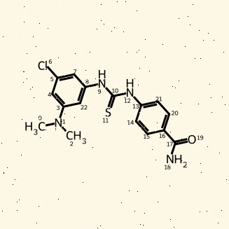 CN(C)c1cc(Cl)cc(NC(=S)Nc2ccc(C(N)=O)cc2)c1